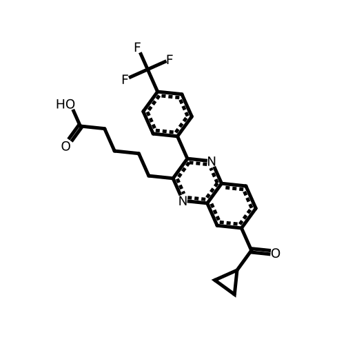 O=C(O)CCCCc1nc2cc(C(=O)C3CC3)ccc2nc1-c1ccc(C(F)(F)F)cc1